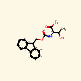 CC(O)[C@@H](NC(=O)OCC1c2ccccc2-c2ccccc21)C(=O)O